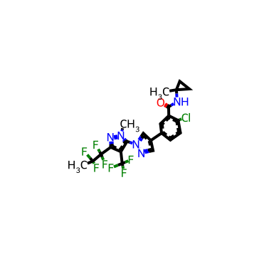 Cn1nc(C(F)(F)C(C)(F)F)c(C(F)(F)F)c1-n1cc(-c2ccc(Cl)c(C(=O)NC3(C)CC3)c2)cn1